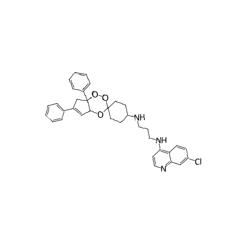 Clc1ccc2c(NCCCNC3CCC4(CC3)OOC3(c5ccccc5)CC(c5ccccc5)=CC3O4)ccnc2c1